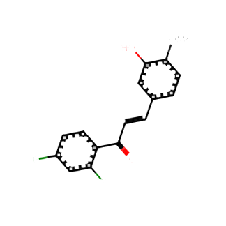 COc1ccc(C=CC(=O)c2ccc(F)cc2F)cc1O